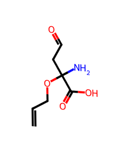 C=CCOC(N)(CC=O)C(=O)O